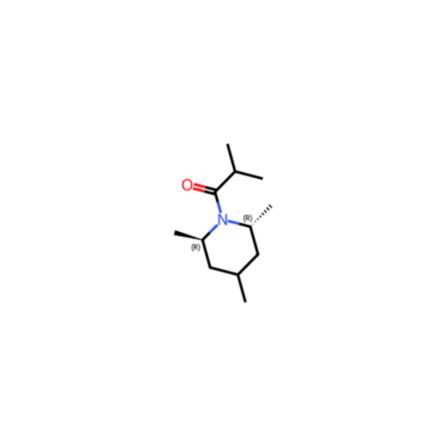 CC1C[C@@H](C)N(C(=O)C(C)C)[C@H](C)C1